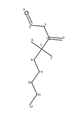 C=C(CC=O)C(C)(C)CCCCC